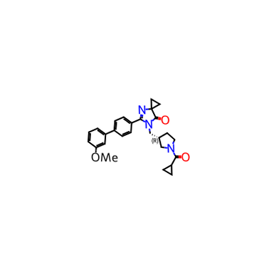 COc1cccc(-c2ccc(C3=NC4(CC4)C(=O)N3C[C@@H]3CCN(C(=O)C4CC4)C3)cc2)c1